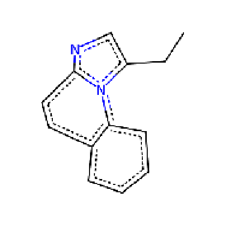 CCc1cnc2ccc3ccccc3n12